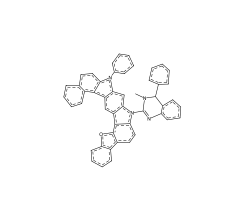 CN1C(n2c3cc4c(cc3c3c5oc6ccccc6c5ccc32)c2c3ccccc3ccc2n4-c2ccccc2)=Nc2ccccc2C1c1ccccc1